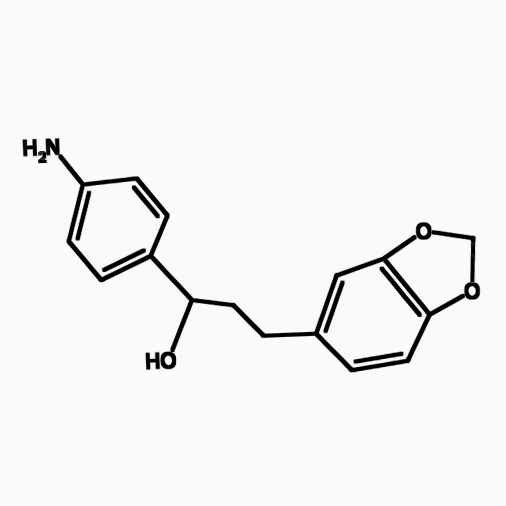 Nc1ccc(C(O)CCc2ccc3c(c2)OCO3)cc1